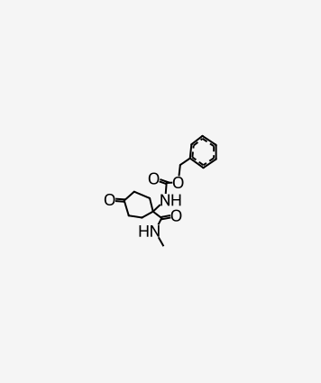 CNC(=O)C1(NC(=O)OCc2ccccc2)CCC(=O)CC1